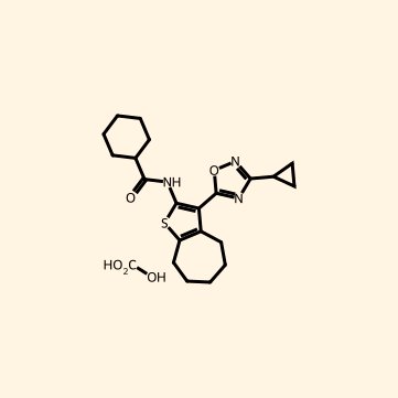 O=C(Nc1sc2c(c1-c1nc(C3CC3)no1)CCCCC2)C1CCCCC1.O=C(O)O